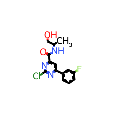 CC(CO)NC(=O)c1cc(-c2cccc(F)c2)nc(Cl)n1